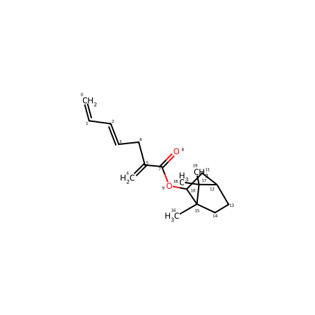 C=CC=CCC(=C)C(=O)OC1CC2CCC1(C)C2(C)C